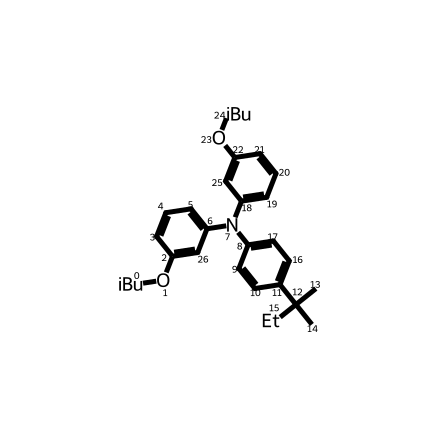 CCC(C)Oc1cccc(N(c2ccc(C(C)(C)CC)cc2)c2cccc(OC(C)CC)c2)c1